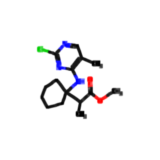 COC(=O)C(C)C1(Nc2nc(Cl)ncc2C)CCCCC1